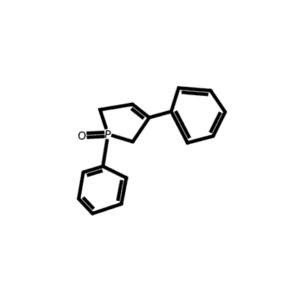 O=P1(c2ccccc2)CC=C(c2ccccc2)C1